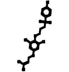 O=S(=O)(CCCOc1c(Cl)cc(OCC=C(Cl)Cl)cc1Cl)c1ccc(Cl)cc1